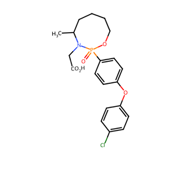 CC1CCCCOP(=O)(c2ccc(Oc3ccc(Cl)cc3)cc2)N1CC(=O)O